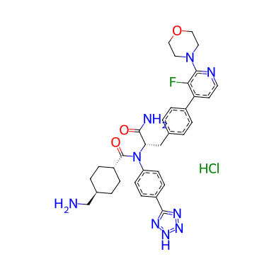 Cl.NC[C@H]1CC[C@H](C(=O)N(c2ccc(-c3nn[nH]n3)cc2)[C@@H](Cc2ccc(-c3ccnc(N4CCOCC4)c3F)cc2)C(N)=O)CC1